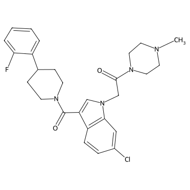 CN1CCN(C(=O)Cn2cc(C(=O)N3CCC(c4ccccc4F)CC3)c3ccc(Cl)cc32)CC1